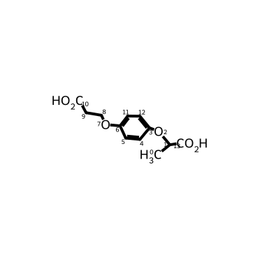 CC(Oc1ccc(OCCC(=O)O)cc1)C(=O)O